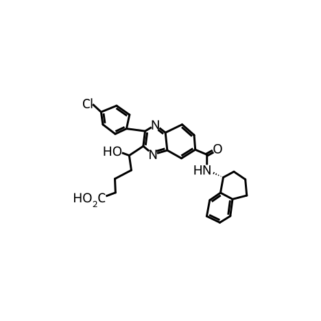 O=C(O)CCCC(O)c1nc2cc(C(=O)N[C@@H]3CCCc4ccccc43)ccc2nc1-c1ccc(Cl)cc1